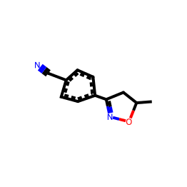 CC1CC(c2ccc(C#N)cc2)=NO1